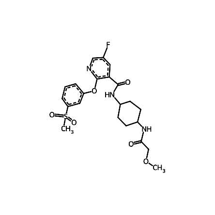 COCC(=O)NC1CCC(NC(=O)c2cc(F)cnc2Oc2cccc(S(C)(=O)=O)c2)CC1